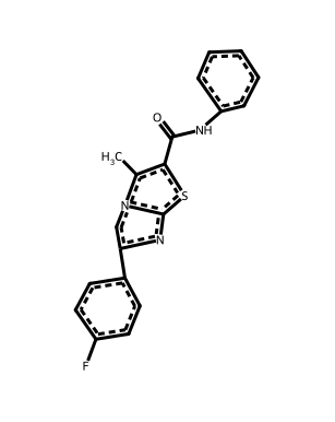 Cc1c(C(=O)Nc2ccccc2)sc2nc(-c3ccc(F)cc3)cn12